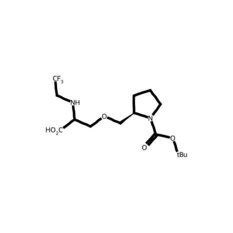 CC(C)(C)OC(=O)N1CCC[C@@H]1COCC(NCC(F)(F)F)C(=O)O